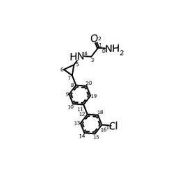 NC(=O)CNC1CC1c1ccc(-c2cccc(Cl)c2)cc1